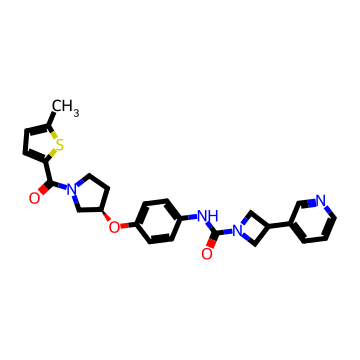 Cc1ccc(C(=O)N2CC[C@@H](Oc3ccc(NC(=O)N4CC(c5cccnc5)C4)cc3)C2)s1